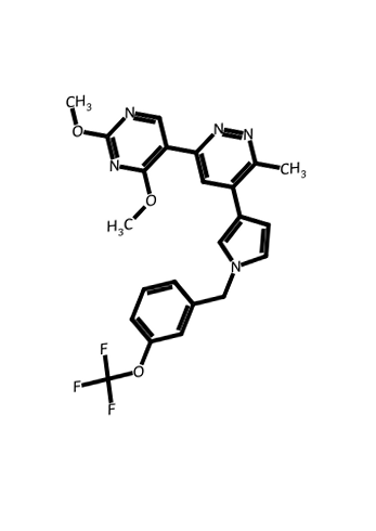 COc1ncc(-c2cc(-c3ccn(Cc4cccc(OC(F)(F)F)c4)c3)c(C)nn2)c(OC)n1